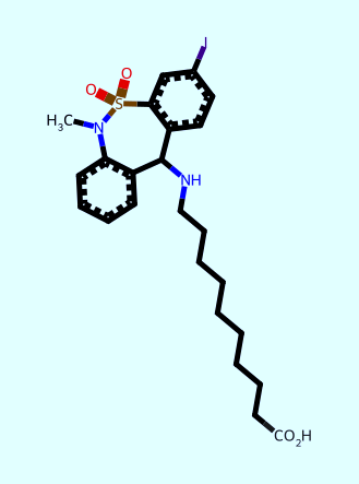 CN1c2ccccc2C(NCCCCCCCCCC(=O)O)c2ccc(I)cc2S1(=O)=O